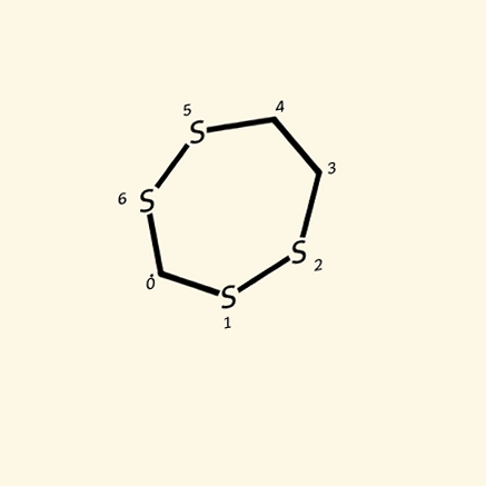 [CH]1SSCCSS1